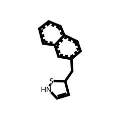 C1=CC(Cc2ccc3ccccc3c2)SN1